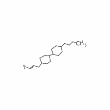 CCCCC1CCC(C2CCC(CC=CF)CC2)CC1